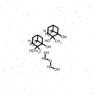 CC1(O)CCC2CC1(O)C2(C)C.CC1(O)CCC2CC1(O)C2(C)C.OBOBO